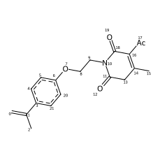 C=C(C)c1ccc(OCCN2C(=O)CC(C)=C(C(C)=O)C2=O)cc1